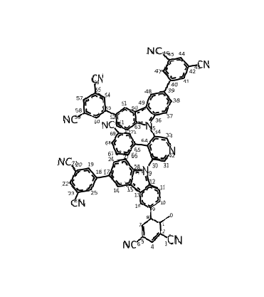 CC1C(C#N)=CC(C#N)=CC1c1ccc2c(c1)c1cc(-c3cc(C#N)cc(C#N)c3)ccc1n2-c1cncc(-n2c3ccc(-c4cc(C#N)cc(C#N)c4)cc3c3cc(-c4cc(C#N)cc(C#N)c4)ccc32)c1-c1cccc(C#N)c1